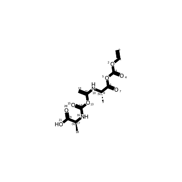 C=COC(=O)OC(=O)[C@H](C)NC(=C)OC(=O)N[C@@H](C)C(=O)O